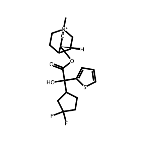 C[N+]12CCC(CC1)[C@@H](OC(=O)C(O)(c1cccs1)C1CCC(F)(F)C1)C2